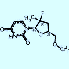 COC[C@@H]1C[C@@](C)(F)[C@H](n2ccc(=O)[nH]c2=O)O1